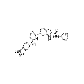 O=C(Nc1cccnc1)c1cc2ccc(-c3nccc(Nc4ccc5[nH]ncc5c4)n3)cc2[nH]1